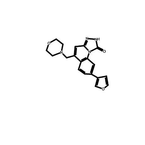 O=c1[nH]nc2cc(CN3CCOCC3)c3ccc(-c4ccoc4)cc3n12